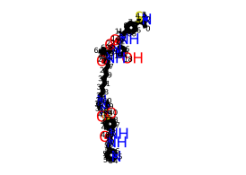 Cc1ncsc1-c1ccc([C@H](C)NC(=O)[C@@H]2C[C@@H](O)CN2C(=O)[C@@H](NC(=O)CCCCCCCCN2CCN(S(=O)(=O)c3ccc(NC(=O)NCc4cccnc4)cc3)CC2)C(C)(C)C)cc1